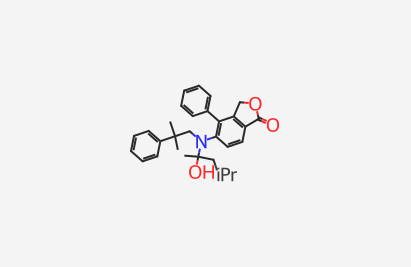 CC(C)CC(C)(O)N(CC(C)(C)c1ccccc1)c1ccc2c(c1-c1ccccc1)COC2=O